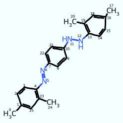 Cc1ccc(N=Nc2ccc(NNc3ccc(C)cc3C)cc2)c(C)c1